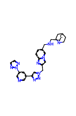 c1cnn(-c2cncc(-c3cn(Cc4cn5cc(CNCC6CC7CCN6CC7)ccc5n4)nn3)c2)n1